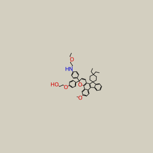 CCOCCNc1ccc(C2(c3ccc(OCCO)cc3)C=Cc3c4c(c5ccc(OC)cc5c3O2)-c2ccccc2C42CCC(CC)(CC)CC2)cc1